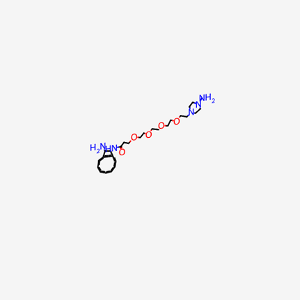 NC1c2cccccccc(c2)C1NC(=O)CCOCCOCCOCCOCCN1CCN(N)CC1